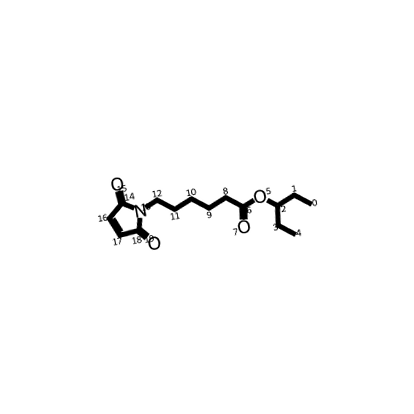 CCC(CC)OC(=O)CCCCCN1C(=O)C=CC1=O